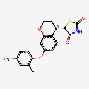 [C-]#[N+]c1ccc(Oc2ccc3c(c2)OCC[C@H]3C2SC(=O)NC2=O)c(C)c1